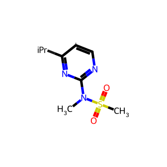 CC(C)c1[c]cnc(N(C)S(C)(=O)=O)n1